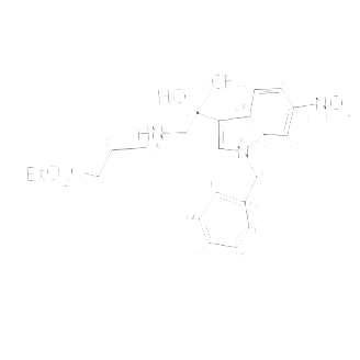 CCOC(=O)CCCNCC(O)(c1cn(Cc2ccccc2)c2cc([N+](=O)[O-])ccc12)C(F)(F)F